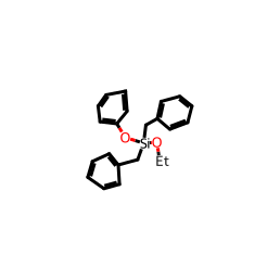 CCO[Si](Cc1ccccc1)(Cc1ccccc1)Oc1ccccc1